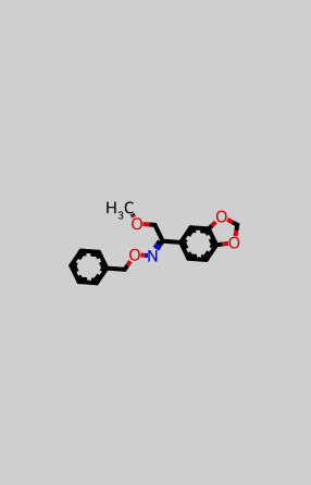 COCC(=NOCc1ccccc1)c1ccc2c(c1)OCO2